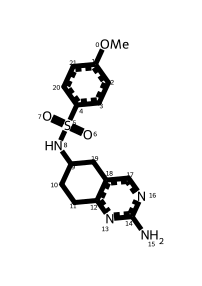 COc1ccc(S(=O)(=O)NC2CCc3nc(N)ncc3C2)cc1